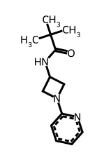 CC(C)(C)C(=O)NC1CN(c2ccccn2)C1